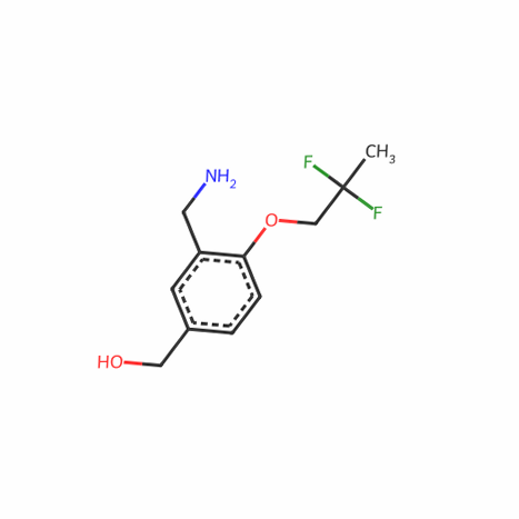 CC(F)(F)COc1ccc(CO)cc1CN